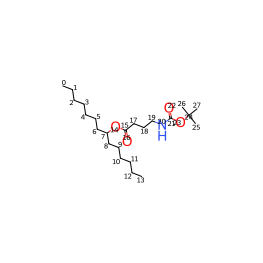 CCCCCCCC(CCCCCC)OC(=O)CCCNC(=O)OC(C)(C)C